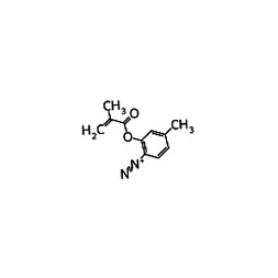 C=C(C)C(=O)Oc1cc(C)ccc1[N+]#N